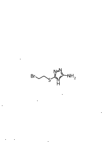 Nc1nnc(SCCBr)[nH]1